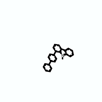 Cn1c2ccccc2c2cccc(-c3ccc(-c4ccccc4)cc3)c21